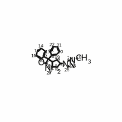 C[n+]1cn(C2CCC(C(C(N)=O)(c3ccccc3)c3ccccc3)C2)cn1.[I-]